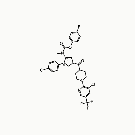 CN(C(=O)Oc1ccc(F)cc1)[C@@H]1CN(C(=O)C2CCN(c3ncc(C(F)(F)F)cc3Cl)CC2)C[C@H]1c1ccc(Cl)cc1